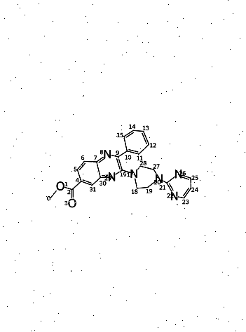 COC(=O)c1ccc2nc(-c3ccccc3)c(N3CCN(c4ncccn4)CC3)nc2c1